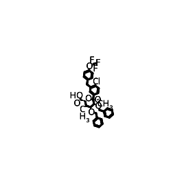 CO[C@@]1(c2ccc(Cl)c(Cc3ccc(OC(F)(F)F)cc3)c2)O[C@H](C(=O)O)[C@@H](C)[C@H](OCc2ccccc2)[C@H]1OCc1ccccc1